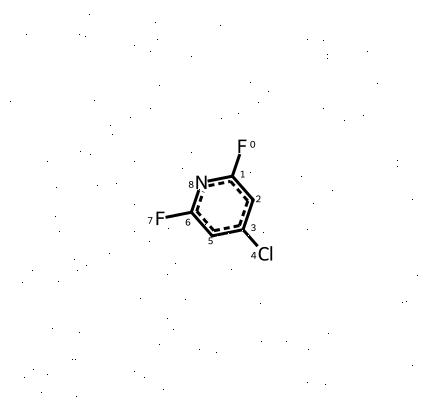 Fc1cc(Cl)cc(F)n1